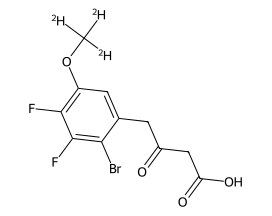 [2H]C([2H])([2H])Oc1cc(CC(=O)CC(=O)O)c(Br)c(F)c1F